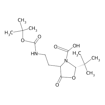 CC(C)(C)OC(=O)NCCC1C(=O)O[C@@H](C(C)(C)C)N1C(=O)O